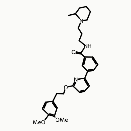 COc1ccc(CCOc2cccc(-c3cccc(C(=O)NCCCN4CCCCC4C)c3)n2)cc1OC